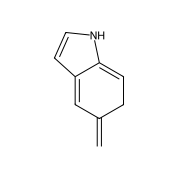 C=C1C=c2cc[nH]c2=CC1